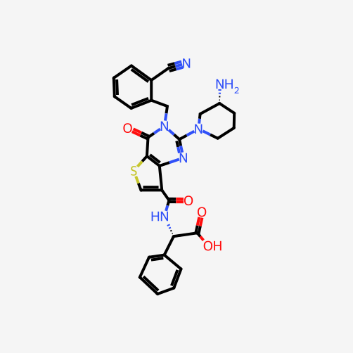 N#Cc1ccccc1Cn1c(N2CCC[C@@H](N)C2)nc2c(C(=O)N[C@H](C(=O)O)c3ccccc3)csc2c1=O